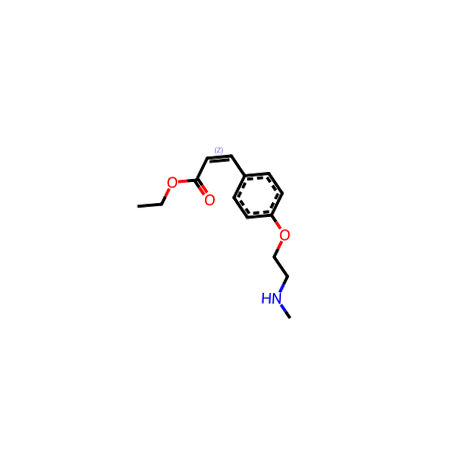 CCOC(=O)/C=C\c1ccc(OCCNC)cc1